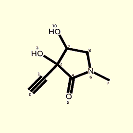 C#CC1(O)C(=O)N(C)CC1O